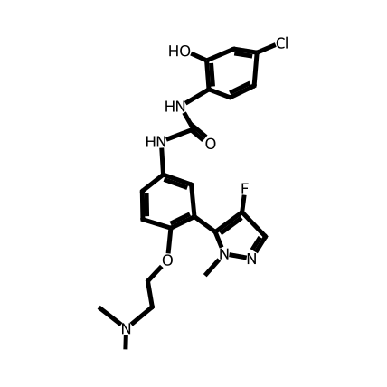 CN(C)CCOc1ccc(NC(=O)Nc2ccc(Cl)cc2O)cc1-c1c(F)cnn1C